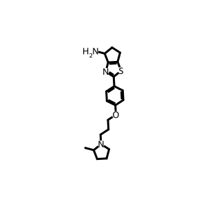 CC1CCCN1CCCOc1ccc(-c2nc3c(s2)CCC3N)cc1